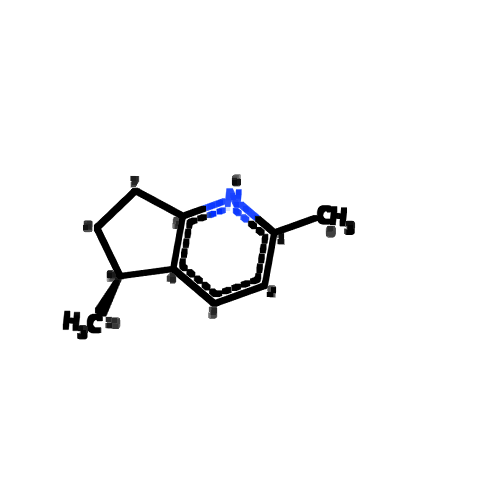 Cc1ccc2c(n1)CC[C@@H]2C